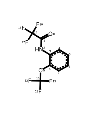 O=C(Nc1ccccc1OC(F)(F)F)C(F)(F)F